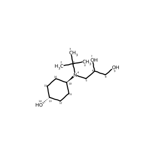 CC(C)(C)N(CC(O)CO)[C@H]1CC[C@H](O)CC1